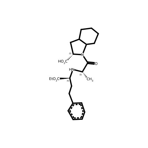 CCOC(=O)[C@H](CCc1ccccc1)N[C@@H](C)C(=O)N1C2CCCCC2C[C@H]1C(=O)O